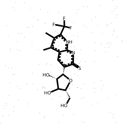 Cc1c2cc([C@@H]3O[C@H](CO)C(O)[C@@H]3O)c(=S)nc-2[nH]c(C(F)(F)F)c1C